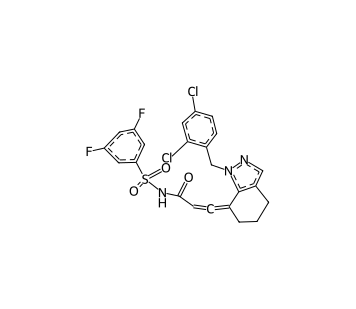 O=C(C=C=C1CCCc2cnn(Cc3ccc(Cl)cc3Cl)c21)NS(=O)(=O)c1cc(F)cc(F)c1